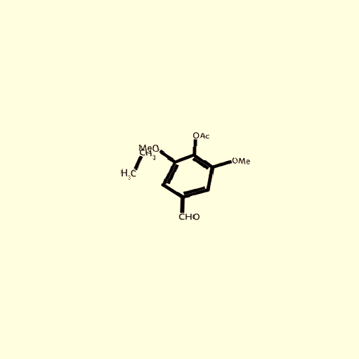 CC.COc1cc(C=O)cc(OC)c1OC(C)=O